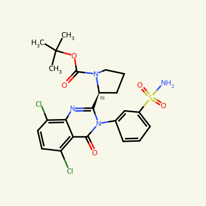 CC(C)(C)OC(=O)N1CCC[C@H]1c1nc2c(Cl)ccc(Cl)c2c(=O)n1-c1cccc(S(N)(=O)=O)c1